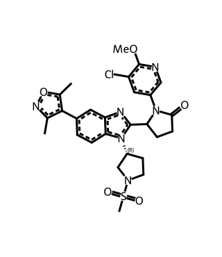 COc1ncc(N2C(=O)CCC2c2nc3cc(-c4c(C)noc4C)ccc3n2[C@@H]2CCN(S(C)(=O)=O)C2)cc1Cl